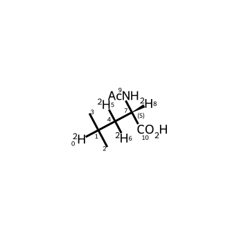 [2H]C(C)(C)C([2H])([2H])[C@]([2H])(NC(C)=O)C(=O)O